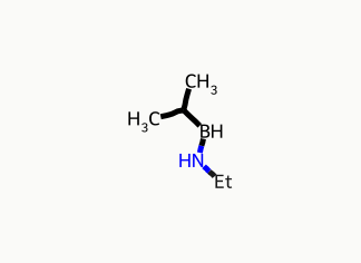 CCNBC(C)C